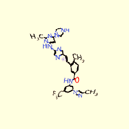 Cc1cn(-c2cc(NC(=O)c3ccc(C)c(/C=C/c4cnc(Nc5cc(N6CCNCC6)nc(C)n5)cn4)c3)cc(C(F)(F)F)c2)cn1